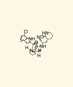 N#C[C@@H](C[C@@H]1CCCNC1=O)NC(=O)[C@H]1[C@H]2CC[C@H](CC2(F)F)N1C(=O)c1cc2scc(Cl)c2[nH]1